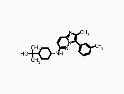 Cc1nc2ccc(N[C@H]3CC[C@H](C(C)(C)O)CC3)nn2c1-c1cccc(C(F)(F)F)c1